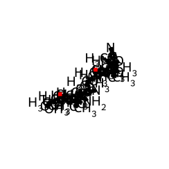 CNCCn1c([C@@]23CC[C@]4(C)[C@H](CC[C@@H]5[C@@]6(C)CC[C@H](OC(=O)CC(C)(C)C(=O)Oc7cc(-n8c(=O)c(C)c([C@@]9%10CC[C@]%11(C)[C@H](CC[C@@H]%12[C@@]%13(C)CCC(OC(=O)CC(C)(C)C(=O)O)C(C)(C)[C@@H]%13CC[C@]%12%11C)C9=C(C(C)C)C(=O)C%10)n8CCN)ccc7C#N)C(C)(C)[C@@H]6CC[C@]54C)C2=C(C(C)C)C(=O)C3)c(C)c(=O)n1-c1ccc(C#N)cc1